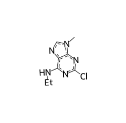 CCNc1nc(Cl)nc2c1ncn2C